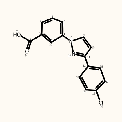 O=C(O)c1cccc(-n2ccc(-c3ccc(Cl)cc3)n2)c1